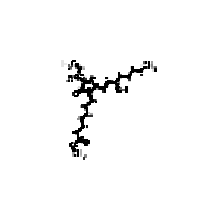 CCCCCC(O)/C=C/C1C=C([S+]([O-])CC)C(=O)/C1=C\CCCCCC(=O)OC